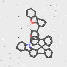 C1=Cc2oc3c(-c4ccc(-n5c6ccccc6c6ccc7c(c65)C5(c6ccccc6-c6ccccc65)c5ccccc5-7)cc4)cccc3c2CC1